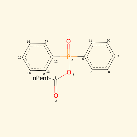 CCCCCC(=O)OP(=O)(c1ccccc1)c1ccccc1